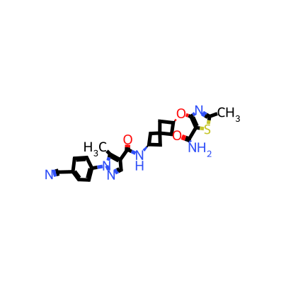 Cc1nc(O[C@H]2CC3(C[C@H](NC(=O)c4cnn(-c5ccc(C#N)cc5)c4C)C3)C2)c(C(N)=O)s1